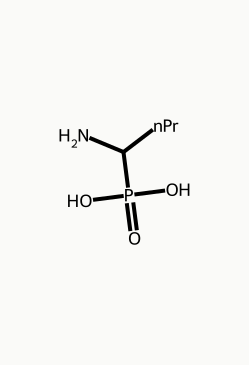 CCCC(N)P(=O)(O)O